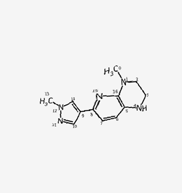 CN1CCNc2ccc(-c3cnn(C)c3)nc21